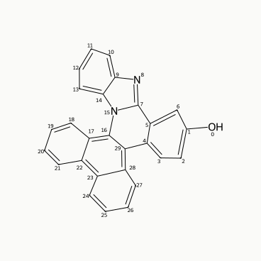 Oc1ccc2c(c1)c1nc3ccccc3n1c1c3ccccc3c3ccccc3c21